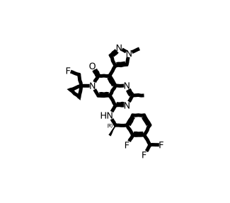 Cc1nc(N[C@H](C)c2cccc(C(F)F)c2F)c2cn(C3(CF)CC3)c(=O)c(-c3cnn(C)c3)c2n1